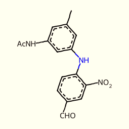 CC(=O)Nc1cc(C)cc(Nc2ccc(C=O)cc2[N+](=O)[O-])c1